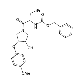 COc1ccc(OC2CN(C(=O)[C@H](CC(C)C)NC(=O)OCc3ccccc3)CC2O)cc1